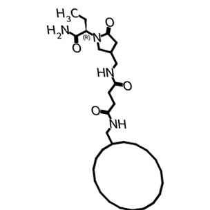 CC[C@H](C(N)=O)N1CC(CNC(=O)CCC(=O)NCC2CCCCCCCCCCCCCCCCC2)CC1=O